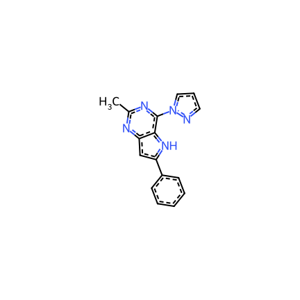 Cc1nc(-n2cccn2)c2[nH]c(-c3ccccc3)cc2n1